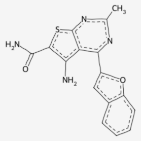 Cc1nc(-c2cc3ccccc3o2)c2c(N)c(C(N)=O)sc2n1